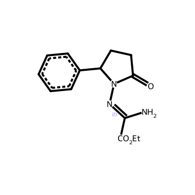 CCOC(=O)/C(N)=N/N1C(=O)CCC1c1ccccc1